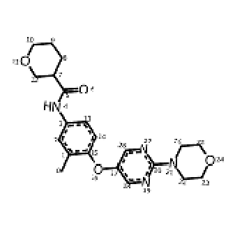 Cc1cc(NC(=O)C2CCCOC2)ccc1Oc1cnc(N2CCOCC2)nc1